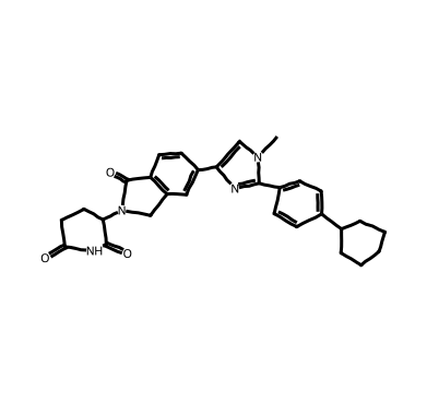 Cn1cc(-c2ccc3c(c2)CN(C2CCC(=O)NC2=O)C3=O)nc1-c1ccc(C2CCCCC2)cc1